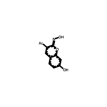 CC(=O)c1cc2ccc(O)cc2oc1=NO